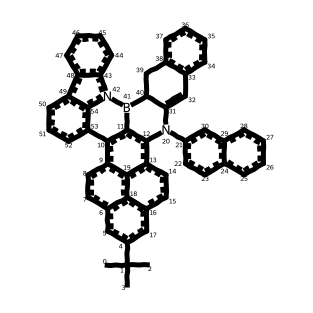 CC(C)(C)c1cc2ccc3c4c5c(c6ccc(c1)c2c36)N(c1ccc2ccccc2c1)C1=Cc2ccccc2CC1B5n1c2ccccc2c2cccc-4c21